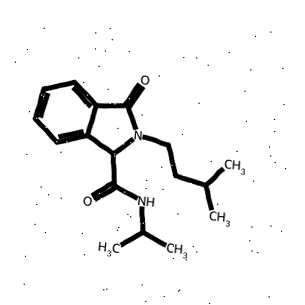 CC(C)CCN1C(=O)c2ccccc2C1C(=O)NC(C)C